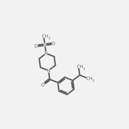 CC(C)c1cccc(C(=O)N2CCN(S(C)(=O)=O)CC2)c1